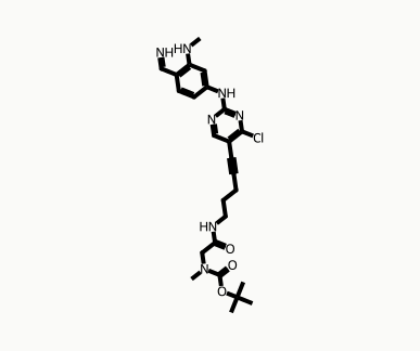 CNc1cc(Nc2ncc(C#CCCCNC(=O)CN(C)C(=O)OC(C)(C)C)c(Cl)n2)ccc1C=N